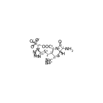 NC1C(=O)N2C(C(=O)[O-])=C(CSc3nnnn3CS(=O)(=O)[O-])CS[C@@H]12.[Na+].[Na+]